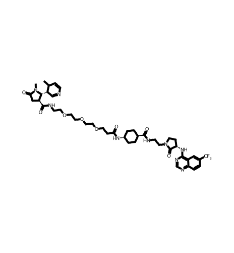 CC1C=CN=CC1[C@@H]1[C@@H](C(=O)NCCOCCOCCOCCC(=O)N[C@H]2CC[C@H](C(=O)NCCN3CC[C@H](Nc4ncnc5ccc(C(F)(F)F)cc45)C3=O)CC2)CC(=O)N1C